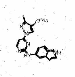 Cc1nn(-c2ccnc(Nc3ccc4[nH]ccc4c3)n2)cc1C=O